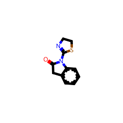 O=C1Cc2ccccc2N1C1=NCCS1